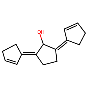 OC1C(=C2C=CCC2)CCC1=C1C=CCC1